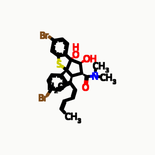 C=C(/C=C\C=C/C)[C@@H]1[C@@H](C(=O)N(C)C)[C@@H](O)[C@@]2(O)c3ccc(Br)cc3S[C@@]12c1ccc(Br)cc1